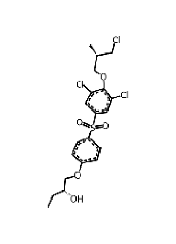 CC[C@@H](O)COc1ccc(S(=O)(=O)c2cc(Cl)c(OC[C@@H](C)CCl)c(Cl)c2)cc1